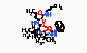 C=CCCNC(=O)C(=O)[C@H](CC=C)NC(=O)[C@@H]1[C@@H]2[C@H](CN1C(=O)[C@@H](NC(=O)NC13CC4CC(CC(C4)C1)C3)C(C)(C)C)C2(C)C